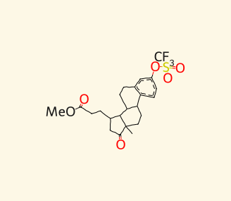 COC(=O)CCC1CC(=O)C2(C)CCC3c4ccc(OS(=O)(=O)C(F)(F)F)cc4CCC3C12